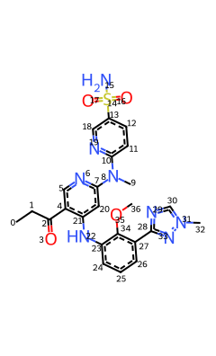 CCC(=O)c1cnc(N(C)c2ccc(S(N)(=O)=O)cn2)cc1Nc1cccc(-c2ncn(C)n2)c1OC